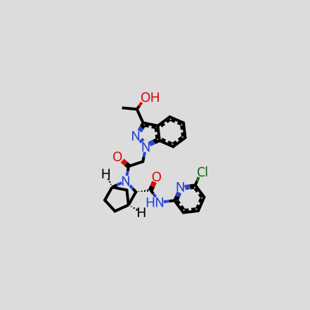 CC(O)c1nn(CC(=O)N2[C@@H]3CC[C@@H](C3)[C@H]2C(=O)Nc2cccc(Cl)n2)c2ccccc12